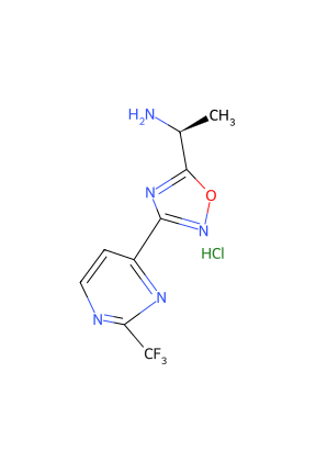 C[C@H](N)c1nc(-c2ccnc(C(F)(F)F)n2)no1.Cl